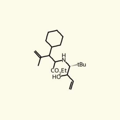 C=CC(O)[C@H](NC(C(=O)OCC)C(C(=C)C)C1CCCCC1)C(C)(C)C